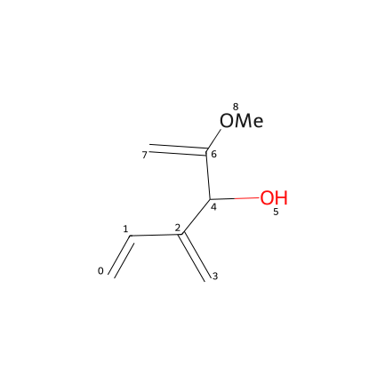 C=CC(=C)C(O)C(=C)OC